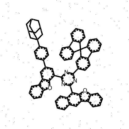 c1ccc2c(c1)-c1ccccc1C21c2ccccc2-c2ccc(-c3nc(-c4cc(-c5ccc(C67CC8CC(CC(C8)C6)C7)cc5)cc5c4oc4ccccc45)nc(-c4c5ccccc5cc5c4oc4ccccc45)n3)cc21